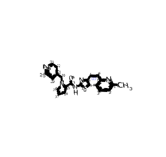 Cc1cccc(/C=C\c2csc(NC(=O)c3cccn3Cc3ccncc3)n2)n1